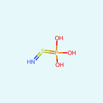 N=S=P(O)(O)O